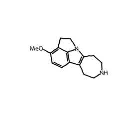 COc1ccc2c3c(n4c2c1CC4)CCNCC3